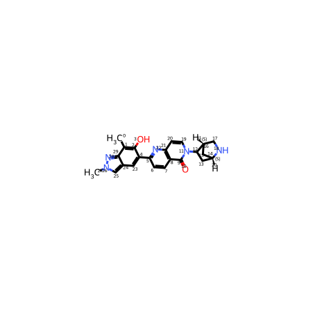 Cc1c(O)c(-c2ccc3c(=O)n(C4C[C@@H]5C[C@H]4CN5)ccc3n2)cc2cn(C)nc12